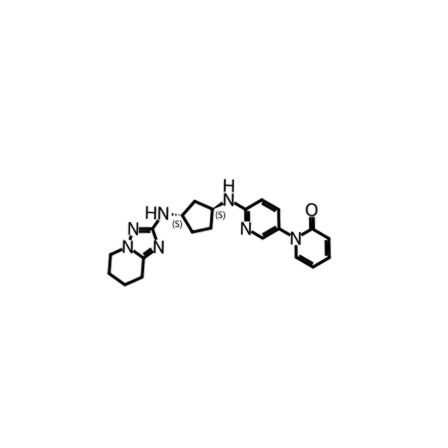 O=c1ccccn1-c1ccc(N[C@H]2CC[C@H](Nc3nc4n(n3)CCCC4)C2)nc1